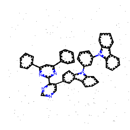 c1ccc(-c2cc(-c3ccccc3)nc(-c3ncncc3-c3ccc4c(c3)c3ccccc3n4-c3cccc(-n4c5ccccc5c5ccccc54)c3)n2)cc1